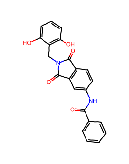 O=C(Nc1ccc2c(c1)C(=O)N(Cc1c(O)cccc1O)C2=O)c1ccccc1